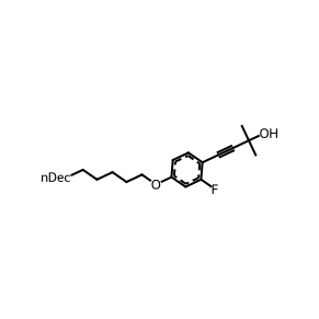 CCCCCCCCCCCCCCCOc1ccc(C#CC(C)(C)O)c(F)c1